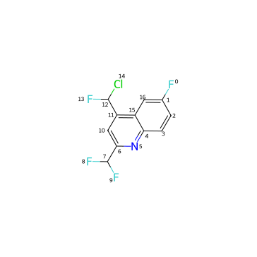 Fc1ccc2nc(C(F)F)cc(C(F)Cl)c2c1